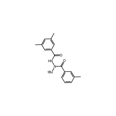 Cc1cc(C)cc(C(=O)NN(C(=O)c2cccc(C)c2)C(C)(C)C)c1